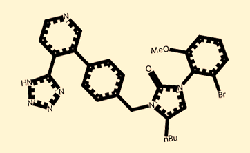 CCCCc1cn(-c2c(Br)cccc2OC)c(=O)n1Cc1ccc(-c2cnccc2-c2nnn[nH]2)cc1